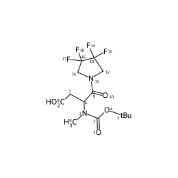 CN(C(=O)OC(C)(C)C)C(CC(=O)O)C(=O)N1CC(F)(F)C(F)(F)C1